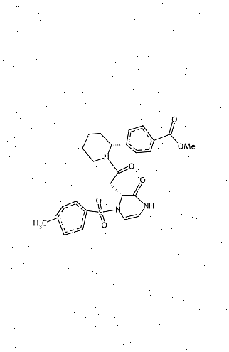 COC(=O)c1ccc([C@H]2CCCCN2C(=O)C[C@@H]2C(=O)NC=CN2S(=O)(=O)c2ccc(C)cc2)cc1